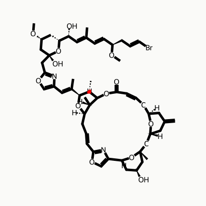 C=C1C[C@@H]2C[C@]3(C)C[C@@H](O)C[C@@H](O3)c3coc(n3)/C=C/C[C@H]3O[C@@H](/C(C)=C/c4coc(C[C@]5(O)C[C@H](OC)C[C@H]([C@H](O)/C=C(C)/C=C/[C@@H](C/C=C/Br)OC)O5)n4)[C@H](C)[C@@H](OC(=O)/C=C\C[C@@H](C1)O2)[C@H]3C